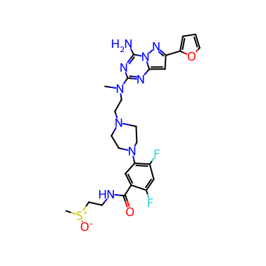 CN(CCN1CCN(c2cc(C(=O)NCC[S+](C)[O-])c(F)cc2F)CC1)c1nc(N)n2nc(-c3ccco3)cc2n1